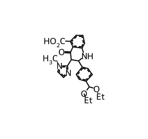 CCOC(OCC)c1ccc(C2Nc3cccc(C(=O)O)c3C(=O)C2c2nccn2C)cc1